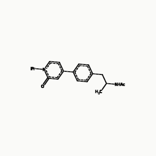 CC(=O)NC(C)Cc1ccc(-c2ccn(C(C)C)c(=O)c2)cc1